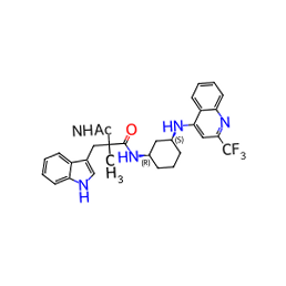 CC(=O)NC(C)(Cc1c[nH]c2ccccc12)C(=O)N[C@@H]1CCC[C@H](Nc2cc(C(F)(F)F)nc3ccccc23)C1